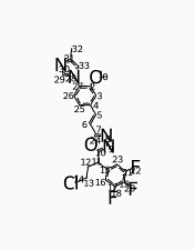 COc1cc(/C=C/c2nnc(C(CCCl)c3cc(F)c(F)c(F)c3)o2)ccc1-n1cnc(C)c1